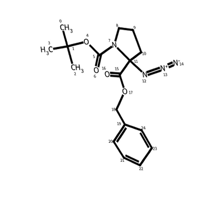 CC(C)(C)OC(=O)N1CCCC1(N=[N+]=[N-])C(=O)OCc1ccccc1